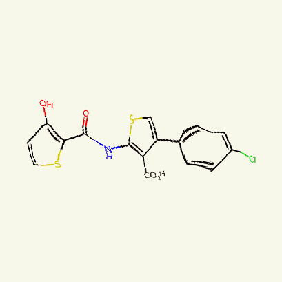 O=C(Nc1scc(-c2ccc(Cl)cc2)c1C(=O)O)c1sccc1O